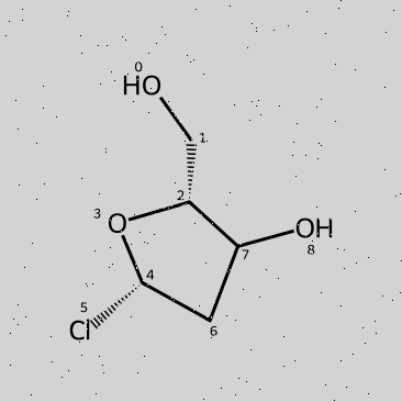 OC[C@H]1O[C@@H](Cl)CC1O